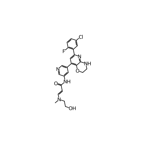 CN(C=CC(=O)Nc1cncc(-c2cc(-c3cc(Cl)ccc3F)nc3c2OCCN3)c1)CCO